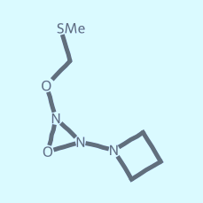 CSCOn1on1N1CCC1